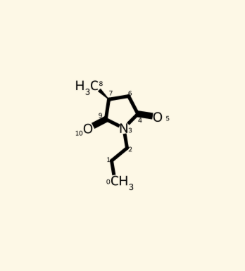 CCCN1C(=O)C[C@H](C)C1=O